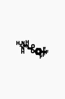 N=C(N)NCC(=O)Oc1ccc(C(F)(F)F)c(F)c1